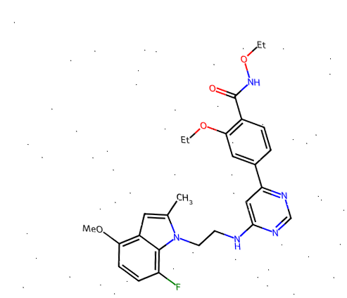 CCONC(=O)c1ccc(-c2cc(NCCn3c(C)cc4c(OC)ccc(F)c43)ncn2)cc1OCC